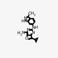 Cc1n[nH]c2cc(Nc3nc(N)c4occ(C5CC5)c4n3)ccc12